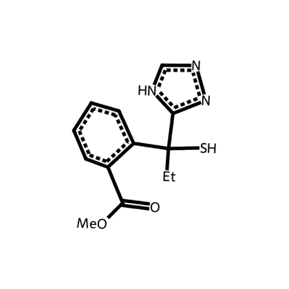 CCC(S)(c1nnc[nH]1)c1ccccc1C(=O)OC